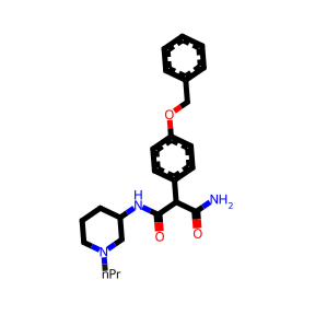 CCCN1CCCC(NC(=O)C(C(N)=O)c2ccc(OCc3ccccc3)cc2)C1